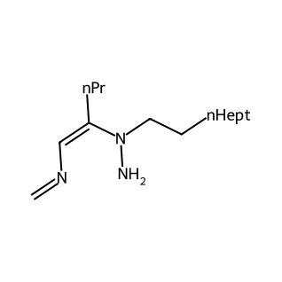 C=N/C=C(/CCC)N(N)CCCCCCCCC